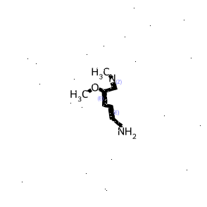 C\N=C/C(=C\C=C\CN)OC